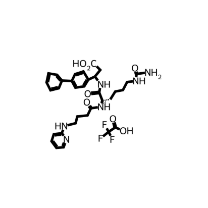 NC(=O)NCCCC[C@H](NC(=O)CCCNc1ccccn1)C(=O)NC(CC(=O)O)c1ccc(-c2ccccc2)cc1.O=C(O)C(F)(F)F